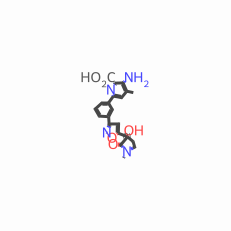 Cc1cc(-c2cccc(-c3cc([C@]4(O)CCN(C)C4=O)on3)c2)nc(C(=O)O)c1N